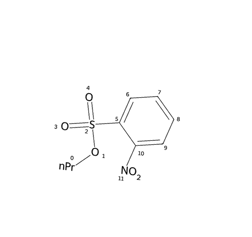 CCCOS(=O)(=O)c1ccccc1[N+](=O)[O-]